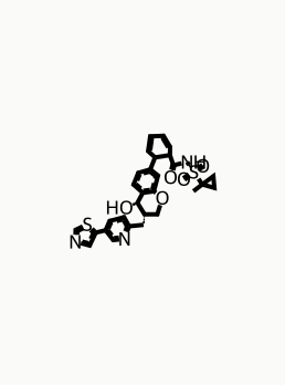 CC1(S(=O)(=O)NC(=O)C2C=CC=CC2c2ccc3c(c2)OC[C@H](Cc2ccc(-c4cncs4)cn2)[C@H]3O)CC1